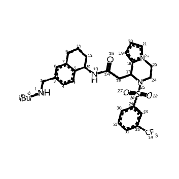 CCC(C)NCc1ccc2c(c1)CCCC2NC(=O)CC1c2cccn2CCN1S(=O)(=O)c1cccc(C(F)(F)F)c1